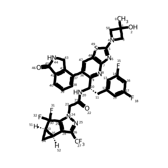 CC1(O)CN(c2nc3nc([C@H](Cc4cc(F)cc(F)c4)NC(=O)Cn4nc(C(F)(F)F)c5c4C(F)(F)[C@@H]4C[C@H]54)c(-c4cccc5c4CNC5=O)cc3s2)C1